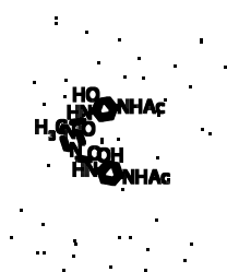 CC(=O)Nc1ccc(NC(=O)CN2CC[N+](C)(CC(=O)Nc3ccc(NC(C)=O)cc3O)CC2)c(O)c1